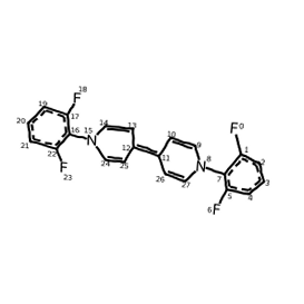 Fc1cccc(F)c1N1C=CC(=C2C=CN(c3c(F)cccc3F)C=C2)C=C1